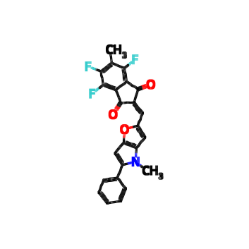 Cc1c(F)c(F)c2c(c1F)C(=O)/C(=C/c1cc3c(cc(-c4ccccc4)n3C)o1)C2=O